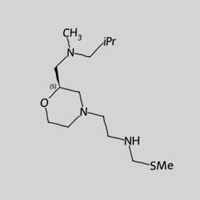 CSCNCCN1CCO[C@@H](CN(C)CC(C)C)C1